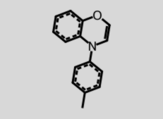 Cc1ccc(N2C=COc3ccccc32)cc1